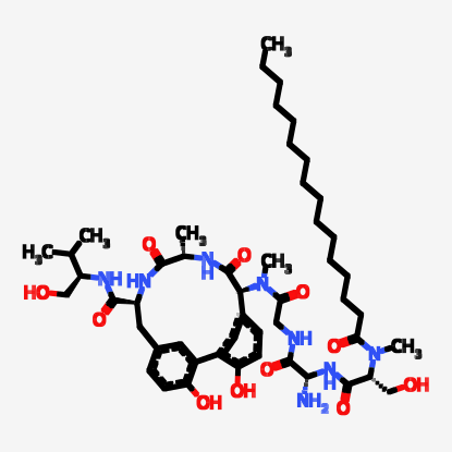 CCCCCCCCCCCCCCCC(=O)N(C)[C@H](CO)C(=O)N[C@H](N)C(=O)NCC(=O)N(C)[C@@H]1C(=O)N[C@@H](C)C(=O)N[C@H](C(=O)N[C@@H](CO)C(C)C)Cc2ccc(O)c(c2)-c2cc1ccc2O